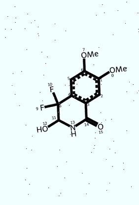 COc1cc2c(cc1OC)C(F)(F)C(O)NC2=O